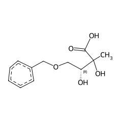 CC(O)(C(=O)O)[C@H](O)COCc1ccccc1